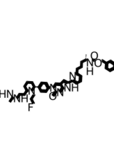 CC(=N)NCCC1CCC[C@@H](c2ccc(-n3cc4cc(-c5cccc(CCC[C@H](C)NC(=O)OCc6ccccc6)n5)[nH]c4nc3=O)cc2)N1CCCF